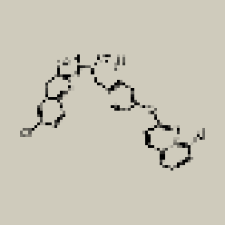 O=C(O)c1cc2cc(Cl)ccc2nc1N[C@@H](Cc1ccc(Oc2ccc3cccc(Cl)c3n2)cc1)C(=O)O